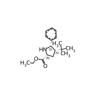 CCOC(=O)[C@H]1C[C@@H](C(C)(C)C)[C@@H](c2ccccc2)N1